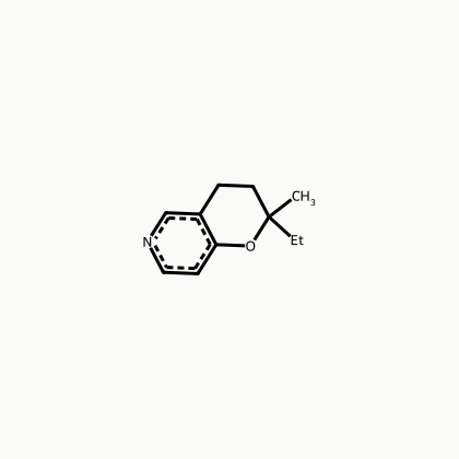 CCC1(C)CCc2cnccc2O1